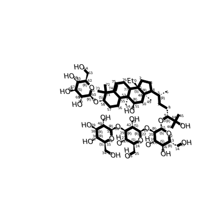 CC[C@@]12CCC([C@H](C)CC[C@@H](O[C@@H]3O[C@H](CO)[C@@H](O)[C@H](O)[C@H]3O[C@H]3O[C@@H](CO)[C@H](O)[C@@H](O[C@H]4O[C@@H](CO)[C@H](O)[C@@H](O)[C@@H]4O)[C@@H]3O)C(C)(C)O)[C@@]1(C)C[C@@H](O)[C@@]1(C)C3CC[C@H](O[C@@H]4O[C@H](CO)[C@@H](O)[C@H](O)[C@H]4O)C(C)(C)C3=CCC12